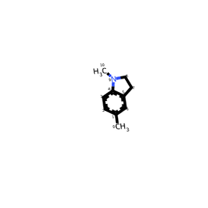 Cc1ccc2c(c1)CCN2C